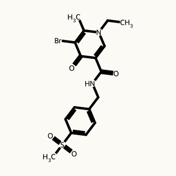 CCn1cc(C(=O)NCc2ccc(S(C)(=O)=O)cc2)c(=O)c(Br)c1C